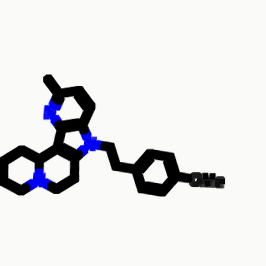 COc1ccc(CCn2c3c(c4nc(C)ccc42)C2CCCCN2CC3)cc1